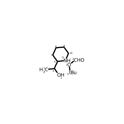 CC(C)(C)OC=O.CC(O)C1CCCCN1